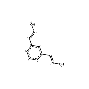 ON=Cc1cccc(C=NO)c1